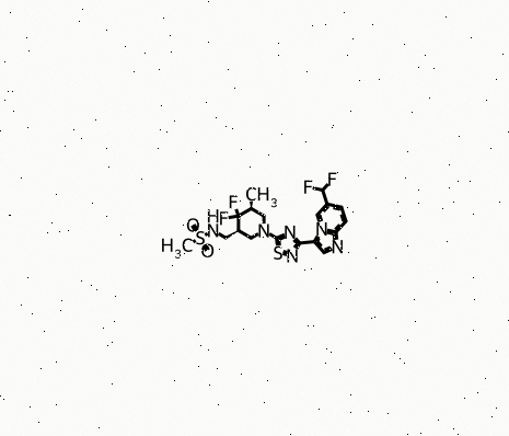 C[C@H]1CN(c2nc(-c3cnc4ccc(C(F)F)cn34)ns2)C[C@@H](CNS(C)(=O)=O)C1(F)F